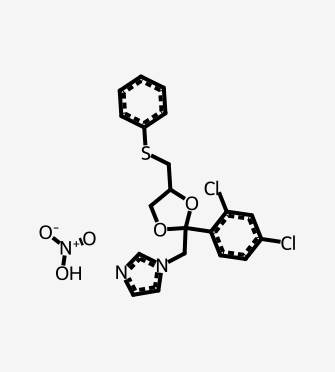 Clc1ccc(C2(Cn3ccnc3)OCC(CSc3ccccc3)O2)c(Cl)c1.O=[N+]([O-])O